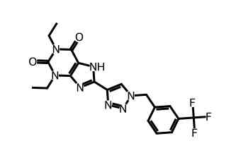 CCn1c(=O)c2[nH]c(-c3cn(Cc4cccc(C(F)(F)F)c4)nn3)nc2n(CC)c1=O